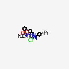 CC(C)c1ccc(-c2nc(Cl)c(C=O)n2Cc2ccc(-c3ccccc3S(=O)(=O)NC#N)cc2)cc1